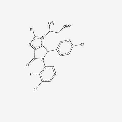 COCC(C)n1c(Br)nc2c1C(c1ccc(Cl)cc1)N(c1cccc(Cl)c1F)C2=O